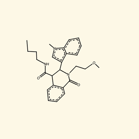 CCCCNC(=O)C1c2ccccc2C(=O)N(CCOC)C1c1cn(C)c2ccccc12